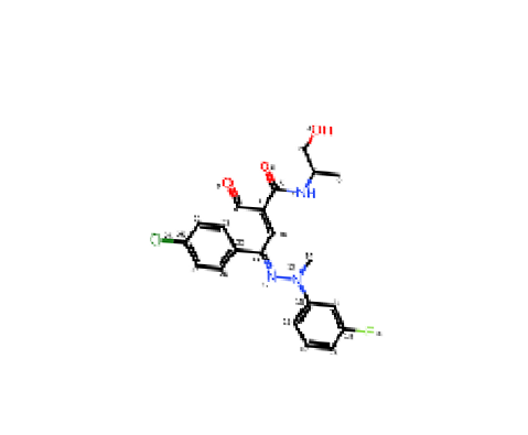 CC(CO)NC(=O)/C(C=O)=C/C(=N\N(C)c1cccc(F)c1)c1ccc(Cl)cc1